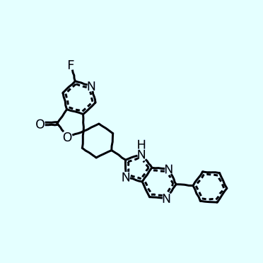 O=C1OC2(CCC(c3nc4cnc(-c5ccccc5)nc4[nH]3)CC2)c2cnc(F)cc21